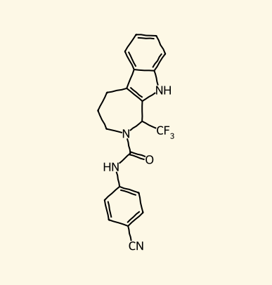 N#Cc1ccc(NC(=O)N2CCCc3c([nH]c4ccccc34)C2C(F)(F)F)cc1